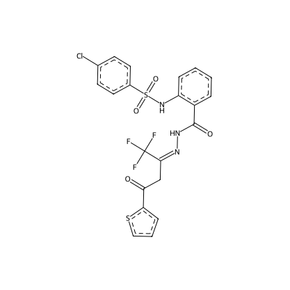 O=C(CC(=NNC(=O)c1ccccc1NS(=O)(=O)c1ccc(Cl)cc1)C(F)(F)F)c1cccs1